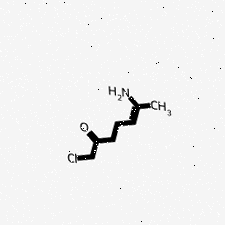 C/C(N)=C/CCC(=O)CCl